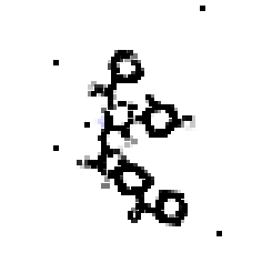 Cc1cc(Cl)ccc1NC(=O)/C(Cc1nc2ccc(C(=O)c3ccccc3)cc2[nH]c1=O)=N\NC(=O)c1ccncc1